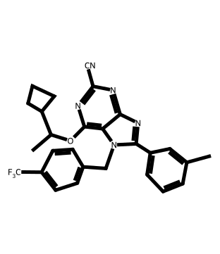 Cc1cccc(-c2nc3nc(C#N)nc(OC(C)C4CCC4)c3n2Cc2ccc(C(F)(F)F)cc2)c1